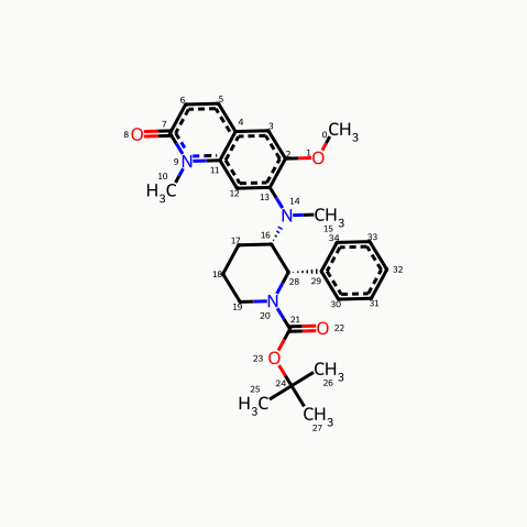 COc1cc2ccc(=O)n(C)c2cc1N(C)[C@H]1CCCN(C(=O)OC(C)(C)C)[C@H]1c1ccccc1